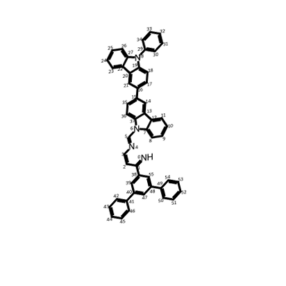 N=C(/C=C\N=C\n1c2ccccc2c2cc(-c3ccc4c(c3)c3ccccc3n4-c3ccccc3)ccc21)c1cc(-c2ccccc2)cc(-c2ccccc2)c1